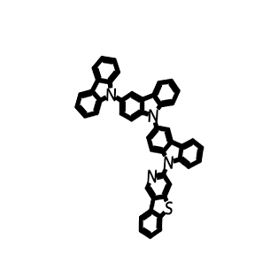 c1ccc2c(c1)sc1cc(-n3c4ccccc4c4cc(-n5c6ccccc6c6cc(-n7c8ccccc8c8ccccc87)ccc65)ccc43)ncc12